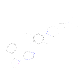 COc1cc(N2CCC3(CC2)CC(N(C)C)C3)c(C)cc1Nc1cc(N2OCC[C@@H]2c2ccccc2)ncn1